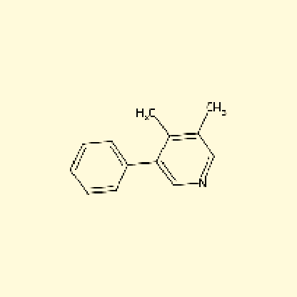 Cc1cncc(-c2ccccc2)c1C